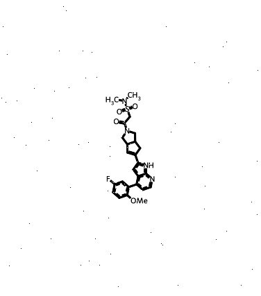 COc1ccc(F)cc1-c1ccnc2[nH]c(C3=CC4CN(C(=O)CS(=O)(=O)N(C)C)CC4C3)cc12